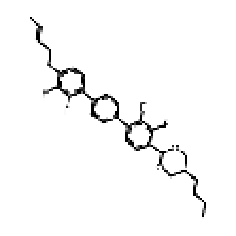 C/C=C/CCc1ccc(-c2ccc(-c3ccc(C4OCC(CCCC)CO4)c(F)c3F)cc2)c(F)c1F